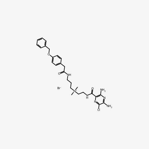 C[N+](C)(CCCNC(=O)Cc1ccc(OCc2ccccc2)cc1)CCNC(=O)c1nc(Cl)c(N)nc1N.[Br-]